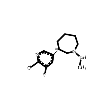 CNN1CCCC[C@@H](c2cnc(Cl)c(F)c2)C1